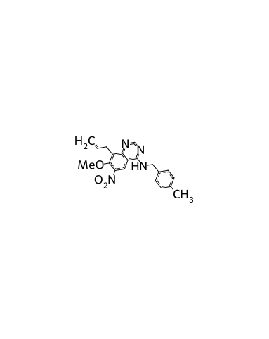 C=CCc1c(OC)c([N+](=O)[O-])cc2c(NCc3ccc(C)cc3)ncnc12